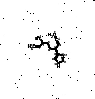 C=C=CC(CCC(C=C)CCC)c1c[nH]cn1